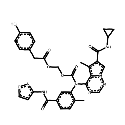 Cc1ccc(C(=O)Nc2ccon2)cc1N(C(=O)OCOC(=O)Cc1ccc(O)cc1)c1ncnn2cc(C(=O)NC3CC3)c(C)c12